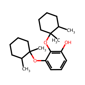 CC1CCCCC1(C)Oc1cccc(O)c1OC1(C)CCCCC1C